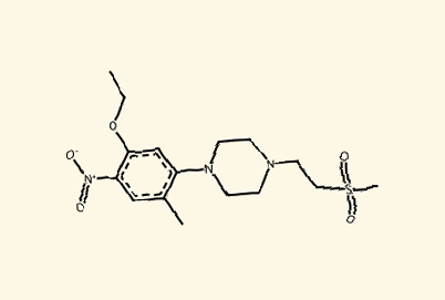 CCOc1cc(N2CCN(CCS(C)(=O)=O)CC2)c(C)cc1[N+](=O)[O-]